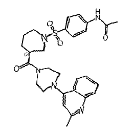 CC(=O)Nc1ccc(S(=O)(=O)N2CCC[C@H](C(=O)N3CCN(c4cc(C)nc5ccccc45)CC3)C2)cc1